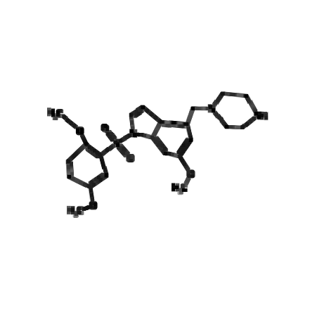 COc1ccc(OC)c(S(=O)(=O)n2ccc3c(CN4CCNCC4)cc(OC)cc32)c1